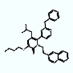 CCCCOc1cc(CC(C)C)c(-c2ccnc(Cc3ccccc3)c2)n(CCc2ccc3ccccc3c2)c1=O